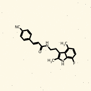 Cc1[nH]c2c(F)ccc(C)c2c1CCNC(=O)C=Cc1ccc(C#N)cc1